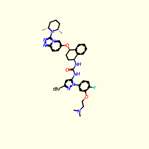 C[C@@H]1CCC[C@H](C)N1c1nnc2ccc(O[C@@H]3CC[C@H](NC(=O)Nc4cc(C(C)(C)C)nn4-c4ccc(F)c(OCCN(C)C)c4)c4ccccc43)cn12